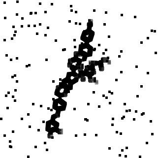 CC(=O)Nc1nc(S(=O)(=O)N2Cc3cc4c(cc3CC2C(=O)N[C@@H](Cc2ccc(-c3ccc(C#N)cc3)cc2)C(=O)O)OC[C@H](c2ccc(OCc3ccc(Cl)c(Cl)c3)cc2)O4)c(C)s1